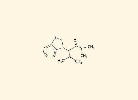 CC(C)C(=O)C(C1CSc2ccccc21)N(C)C